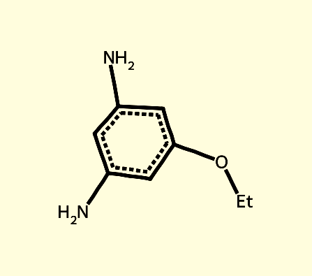 CCOc1cc(N)cc(N)c1